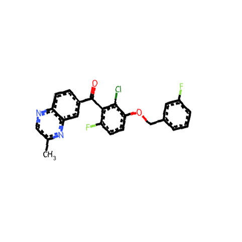 Cc1cnc2ccc(C(=O)c3c(F)ccc(OCc4cccc(F)c4)c3Cl)cc2n1